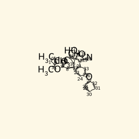 CCC(C)(C)OC(=O)/C=C\[C@H]1C(C)(C)[C@]1(C(=O)O)[C@@H](C#N)c1cccc(Oc2ccccc2)c1